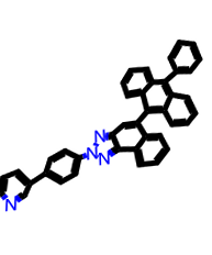 c1ccc(-c2c3ccccc3c(-c3cc4nn(-c5ccc(-c6cccnc6)cc5)nc4c4ccccc34)c3ccccc23)cc1